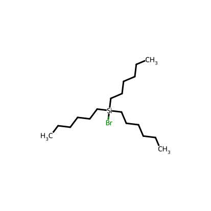 CCCCCC[Si](Br)(CCCCCC)CCCCCC